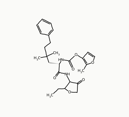 CCC1OCC(=O)C1NC(=O)[C@H](CC(C)(C)CCc1ccccc1)NC(=O)Oc1ccoc1C